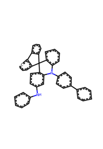 c1ccc(Nc2ccc3c(c2)N(c2ccc(-c4ccccc4)cc2)c2ccccc2C32c3ccccc3-c3ccccc32)cc1